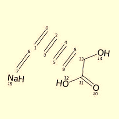 C=C.C=C.C=C.C=C.C=C.O=C(O)CO.[NaH]